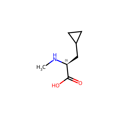 CN[C@@H](CC1CC1)C(=O)O